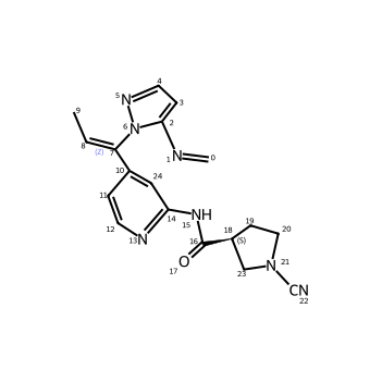 C=Nc1ccnn1/C(=C\C)c1ccnc(NC(=O)[C@H]2CCN(C#N)C2)c1